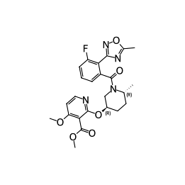 COC(=O)c1c(OC)ccnc1O[C@@H]1CC[C@@H](C)N(C(=O)c2cccc(F)c2-c2noc(C)n2)C1